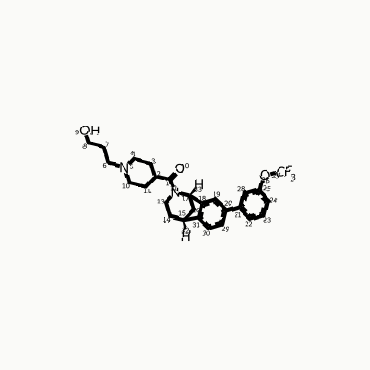 O=C(C1CCN(CCCO)CC1)N1CC[C@@H]2C[C@H]1c1cc(-c3cccc(OC(F)(F)F)c3)ccc12